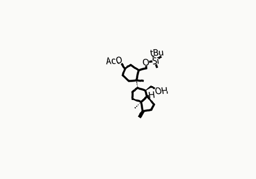 C=C1CC[C@H]2[C@H](CO)[C@@H](C3(C)CCC(OC(C)=O)CC3CO[Si](C)(C)C(C)(C)C)CC[C@]12C